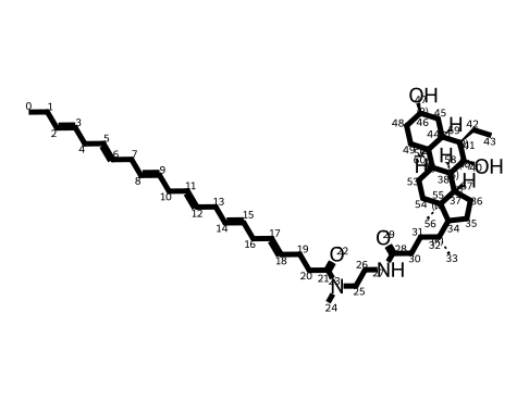 CCC=CCC=CCC=CCC=CCC=CCC=CCCC(=O)N(C)CCNC(=O)CC[C@@H](C)C1CC[C@H]2[C@@H]3[C@H](O)[C@H](CC)[C@@H]4C[C@H](O)CC[C@]4(C)[C@H]3CC[C@]12C